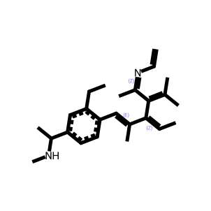 C=C/N=C(/C)C(=C(C)C)C(=C\C)/C(C)=C/c1ccc(C(C)NC)cc1CC